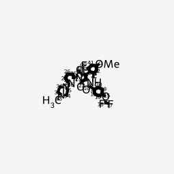 COc1cc(F)c(-c2c(NC(=O)c3ccc(OC(F)F)cc3)c(=O)n(-c3cccc(N4CCN(C)CC4)n3)n2C)c(F)c1